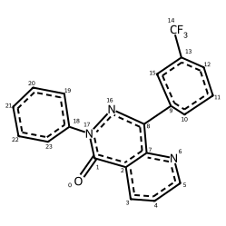 O=c1c2cccnc2c(-c2cccc(C(F)(F)F)c2)nn1-c1ccccc1